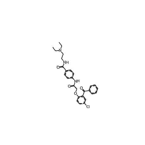 CCN(CC)CCNC(=O)c1ccc(NC(=O)COc2ccc(Cl)cc2C(=O)c2ccccc2)cc1